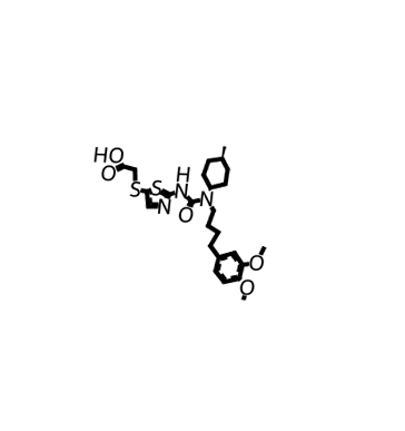 COc1ccc(CCCCN(C(=O)Nc2ncc(SCC(=O)O)s2)[C@H]2CC[C@H](C)CC2)cc1OC